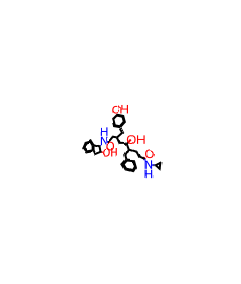 O=C(CCC(Cc1ccccc1)C(O)CC(CC(=O)N[C@H]1c2ccccc2C[C@@H]1O)Cc1ccc(O)cc1)NC1CC1